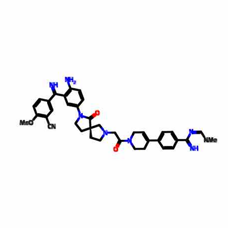 CN/C=N\C(=N)c1ccc(C2=CCN(C(=O)CN3CC[C@]4(CCN(c5ccc(N)c(C(=N)c6ccc(OC)c(C#N)c6)c5)C4=O)C3)CC2)cc1